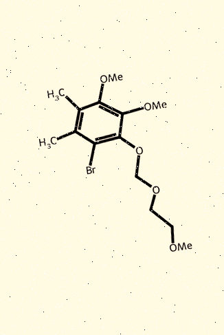 COCCOCOc1c(Br)c(C)c(C)c(OC)c1OC